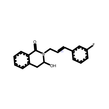 O=C1c2ccccc2CC(O)N1C/C=C/c1cccc(F)c1